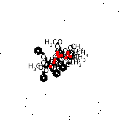 CCC1(C(=O)OC)O[C@@H](O[C@@H]2C(COC(C)=O)O[C@@H](O[C@H]3C(OC)[C@H]4OCC3(C(=O)OC)O[C@H]4O[C@@H]3C(COCc4ccccc4)O[C@H](OC)C(OCc4ccccc4)[C@@H]3OCc3ccccc3)C(OCc3ccccc3)[C@H]2OC(C)=O)C(OC)[C@@H](OC)[C@@H]1C